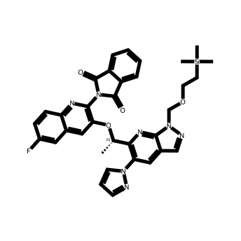 C[C@H](Oc1cc2cc(F)ccc2nc1N1C(=O)c2ccccc2C1=O)c1nc2c(cnn2COCC[Si](C)(C)C)cc1-n1cccn1